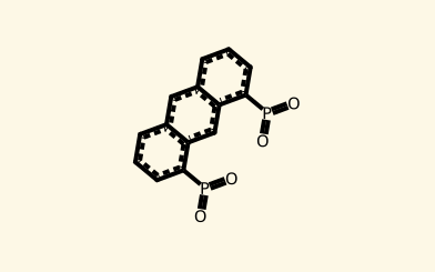 O=P(=O)c1cccc2cc3cccc(P(=O)=O)c3cc12